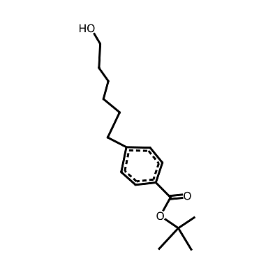 CC(C)(C)OC(=O)c1ccc(CCCCCCO)cc1